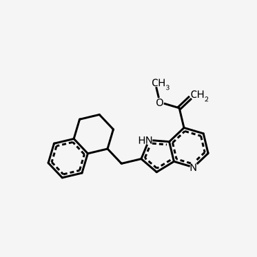 C=C(OC)c1ccnc2cc(CC3CCCc4ccccc43)[nH]c12